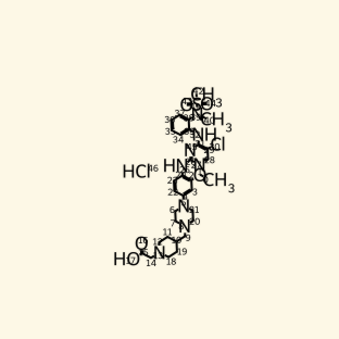 COc1cc(N2CCN(CC3CCN(CC(=O)O)CC3)CC2)ccc1Nc1ncc(Cl)c(Nc2ccccc2N(C)S(C)(=O)=O)n1.Cl